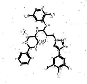 CO[C@@H](Cn1cc(-c2cc(F)c(Cl)c(F)c2)nn1)C(OC1COC(c2ccccc2)O[C@@H]1C)Sc1cc(Cl)cnc1C#N